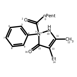 CCCCCC(=O)[N+]1(c2ccccc2)NC(C)=C(CC)C1=O